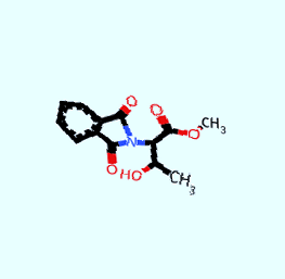 COC(=O)C(C(C)O)N1C(=O)c2ccccc2C1=O